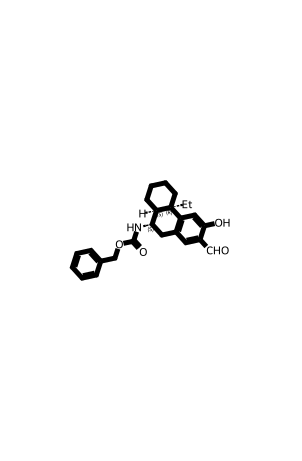 CC[C@@]12CCCC[C@@H]1[C@@H](NC(=O)OCc1ccccc1)Cc1cc(C=O)c(O)cc12